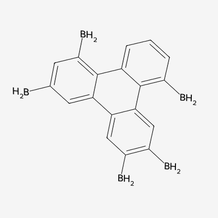 Bc1cc(B)c2c(c1)c1cc(B)c(B)cc1c1c(B)cccc21